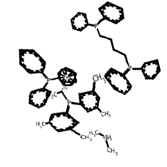 CNC.Cc1cc(C)cc(P(c2cc(C)cc(C)c2)C(C)[C@]23[CH]4[CH]5[CH]6[C]2(P(c2ccccc2)c2ccccc2)[Fe]56432789[CH]3[CH]2[CH]7[CH]8[CH]39)c1.c1ccc(P(CCCCP(c2ccccc2)c2ccccc2)c2ccccc2)cc1